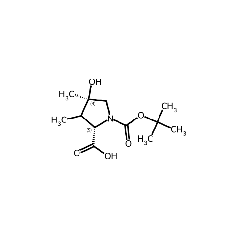 CC1[C@@H](C(=O)O)N(C(=O)OC(C)(C)C)C[C@]1(C)O